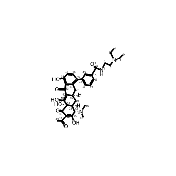 CCN(CC)CCNC(=O)c1cccc(-c2ccc(O)c3c2C[C@H]2C[C@H]4[C@H](N(C)C)C(O)=C(C(C)=O)C(=O)[C@@]4(O)C(O)=C2C3=O)c1